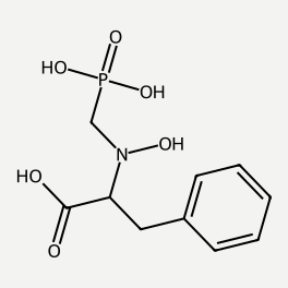 O=C(O)C(Cc1ccccc1)N(O)CP(=O)(O)O